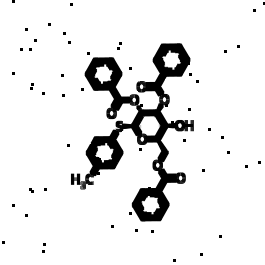 Cc1ccc(S[C@@H]2O[C@H](COC(=O)c3ccccc3)[C@H](O)[C@H](OC(=O)c3ccccc3)[C@H]2OC(=O)c2ccccc2)cc1